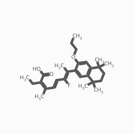 CCCOc1cc2c(cc1C(C)=C(F)C=CC(C)=C(CC)C(=O)O)C(C)(C)CCC2(C)C